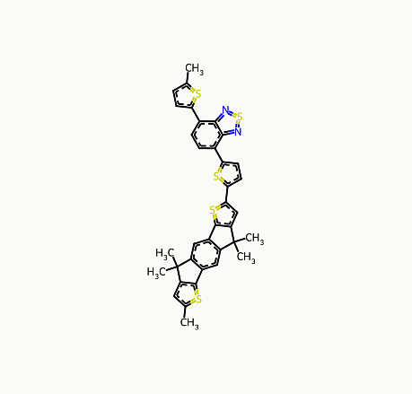 Cc1ccc(-c2ccc(-c3ccc(-c4cc5c(s4)-c4cc6c(cc4C5(C)C)-c4sc(C)cc4C6(C)C)s3)c3nsnc23)s1